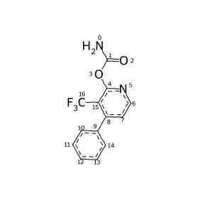 NC(=O)Oc1nccc(-c2ccccc2)c1C(F)(F)F